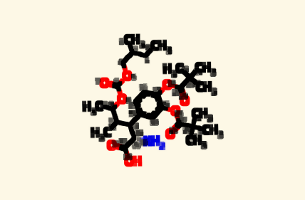 CCC(C)COC(=O)OC(C)C(C)C(c1ccc(OC(=O)C(C)(C)C)c(OC(=O)C(C)(C)C)c1)[C@H](N)C(=O)O